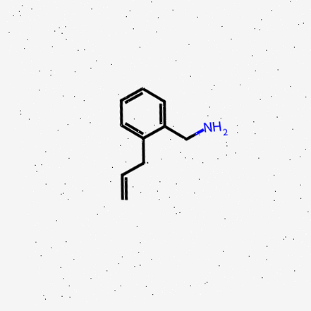 C=C[CH]c1ccccc1CN